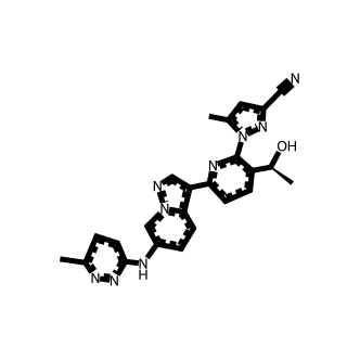 Cc1ccc(Nc2ccc3c(-c4ccc([C@H](C)O)c(-n5nc(C#N)cc5C)n4)cnn3c2)nn1